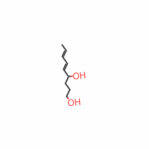 CC=CC=CC(O)CCCO